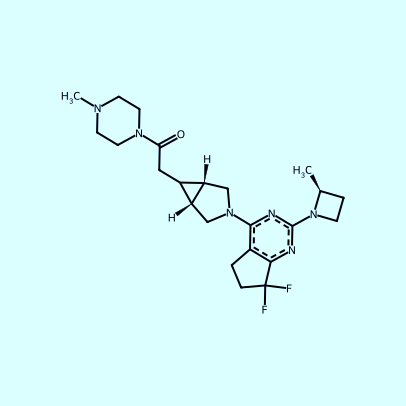 C[C@H]1CCN1c1nc(N2C[C@@H]3C(CC(=O)N4CCN(C)CC4)[C@@H]3C2)c2c(n1)C(F)(F)CC2